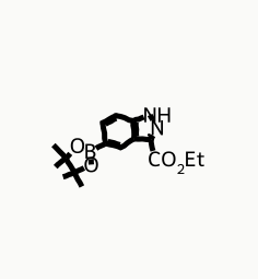 CCOC(=O)c1n[nH]c2ccc(B3OC(C)(C)C(C)(C)O3)cc12